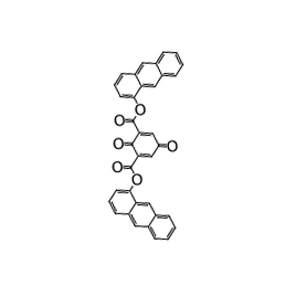 O=C1C=C(C(=O)Oc2cccc3cc4ccccc4cc23)C(=O)C(C(=O)Oc2cccc3cc4ccccc4cc23)=C1